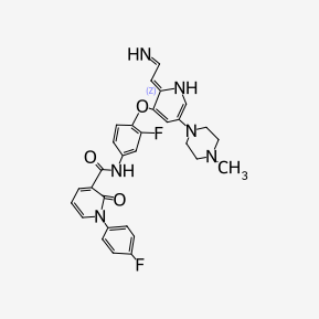 CN1CCN(C2=CN/C(=C\C=N)C(Oc3ccc(NC(=O)c4cccn(-c5ccc(F)cc5)c4=O)cc3F)=C2)CC1